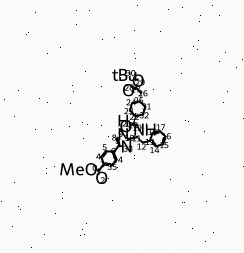 COC(=O)c1ccc(-c2c[nH]c([C@H](Cc3ccccc3)NC(=O)[C@H]3CC[C@H](CC(=O)OC(C)(C)C)CC3)n2)cc1